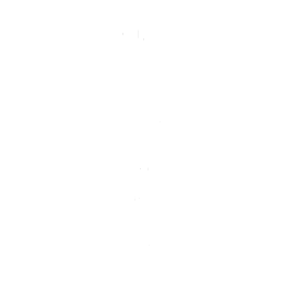 COc1ccc(CC2=CC(c3ccccc3)[Se]O2)cc1